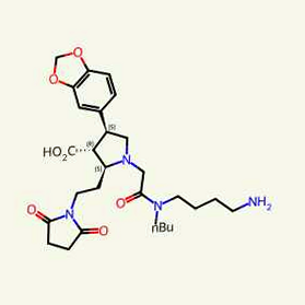 CCCCN(CCCCN)C(=O)CN1C[C@H](c2ccc3c(c2)OCO3)[C@@H](C(=O)O)[C@@H]1CCN1C(=O)CCC1=O